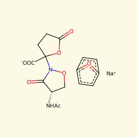 CC(=O)N[C@H]1CON(C2(C(=O)[O-])CCC(=O)O2)C1=O.[Na+].c1cc2ccc1o2